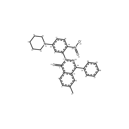 Cc1ccc2c(=O)n(-c3cc(N4CCCCC4)ccc3[N+](=O)[O-])nc(-c3ccccc3)c2c1